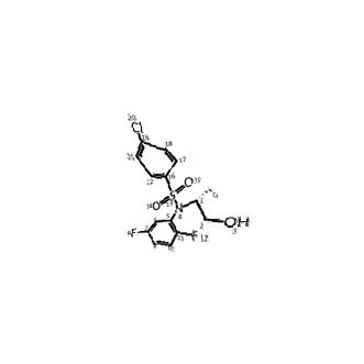 C[C@H](CO)N(c1cc(F)ccc1F)S(=O)(=O)c1ccc(Cl)cc1